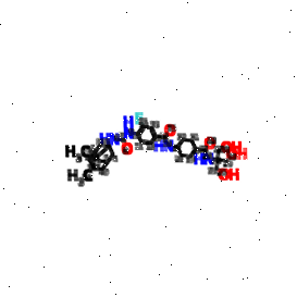 C[C@]12CC3CC(NC(=O)Nc4ccc(C(=O)NC5CCC(C(=O)NC(CO)(CO)CO)CC5)cc4F)(C1)C[C@@](C)(C3)C2